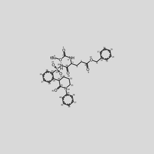 CC(C)(C)OC(=O)NC(CCC(=O)OCc1ccccc1)C(=O)NS(=O)(=O)c1ccccc1C1CCCN(c2ccccc2)C1=O